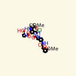 COC(=O)c1c(C(F)(F)F)[nH]c2c(OC(=O)N3CCC[C@H]3CO)cc3c(c12)[C@H](CCl)CN3C(=O)c1cc2cc(NC(=O)c3cc4cccc(OC)c4o3)ccc2[nH]1